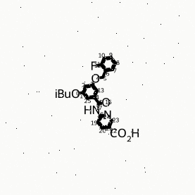 CC(C)COc1cc(OCc2ccccc2F)cc(C(=O)Nc2ccc(C(=O)O)cn2)c1